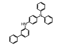 c1ccc(-c2cccc(Nc3ccc(N(c4ccccc4)c4ccccc4)cc3)c2)cc1